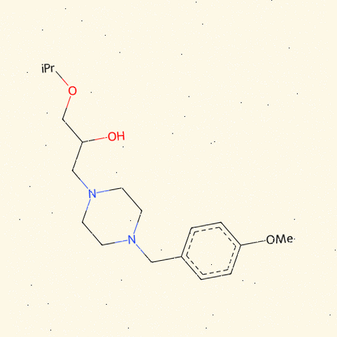 COc1ccc(CN2CCN(CC(O)COC(C)C)CC2)cc1